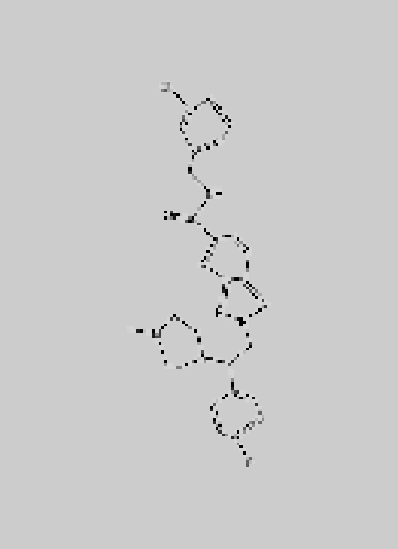 CN1CCN(C(Cn2cc3ccc(C(=O)NCc4cccc(Cl)c4)cc3n2)c2ccc(F)cc2)CC1